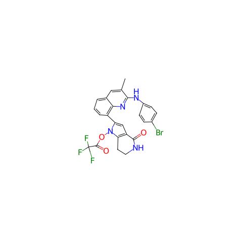 Cc1cc2cccc(-c3cc4c(n3OC(=O)C(F)(F)F)CCNC4=O)c2nc1Nc1ccc(Br)cc1